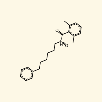 Cc1cccc(C)c1C(=O)[PH](=O)CCCCCCc1ccccc1